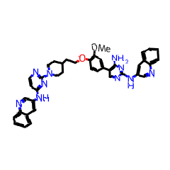 COc1cc(-c2cnc(Nc3cnc4ccccc4c3)nc2N)ccc1OCCC1CCN(c2nccc(Nc3cnc4ccccc4c3)n2)CC1